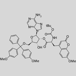 COc1ccc(C(OC[C@H]2O[C@@H](n3cnc4c(N)ncnc43)[C@H](OC(=O)[C@H](Cc3cc(=O)oc4cc(OC)ccc34)NC(=O)OC(C)(C)C)[C@@H]2O)(c2ccccc2)c2ccc(OC)cc2)cc1